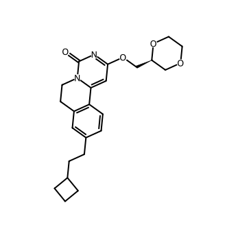 O=c1nc(OC[C@@H]2COCCO2)cc2n1CCc1cc(CCC3CCC3)ccc1-2